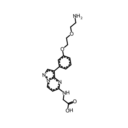 NCCOCCOc1cccc(-c2cnn3ccc(NCC(=O)O)nc23)c1